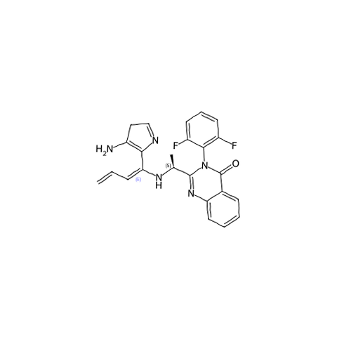 C=C/C=C(/N[C@@H](C)c1nc2ccccc2c(=O)n1-c1c(F)cccc1F)C1=C(N)CC=N1